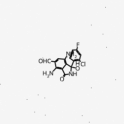 Nc1cc(C=O)c(N)c2c1C(O)(c1ccc(F)cc1Cl)NC2=O